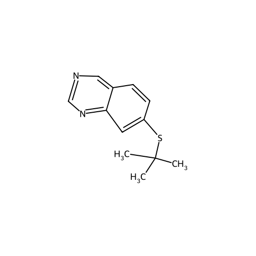 CC(C)(C)Sc1ccc2cncnc2c1